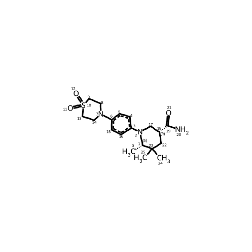 C[C@@H]1N(c2ccc(N3CCS(=O)(=O)CC3)cc2)C[C@H](C(N)=O)CC1(C)C